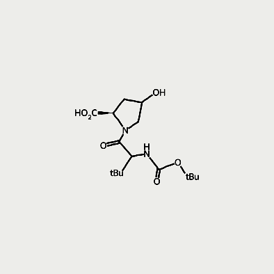 CC(C)(C)OC(=O)NC(C(=O)N1CC(O)C[C@@H]1C(=O)O)C(C)(C)C